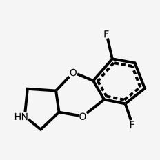 Fc1ccc(F)c2c1OC1CNCC1O2